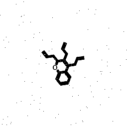 C=CCC1=C(CC=C)C(CC=C)Oc2ccccc21